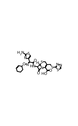 Nc1nc(C(=NOC2C=CCCC2)C(=O)NC2C(=O)N3C(C(=O)O)=C(CSc4nncs4)CS[C@@H]23)cs1